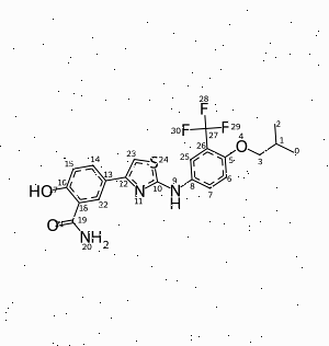 CC(C)COc1ccc(Nc2nc(-c3ccc(O)c(C(N)=O)c3)cs2)cc1C(F)(F)F